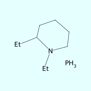 CCC1CCCCN1CC.P